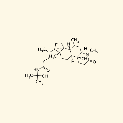 CC1C[C@H]2N(C)C(=O)CC[C@]2(C)[C@H]2CC[C@]3(C)[C@@H]([C@H](C)CCC(=O)NC(C)(C)C)CC[C@H]3[C@H]12